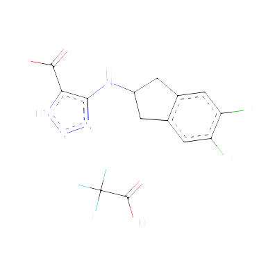 O=C(O)C(F)(F)F.O=C(O)c1[nH]nnc1NC1Cc2cc(Cl)c(Cl)cc2C1